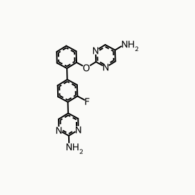 Nc1cnc(Oc2ccccc2-c2ccc(-c3cnc(N)nc3)c(F)c2)nc1